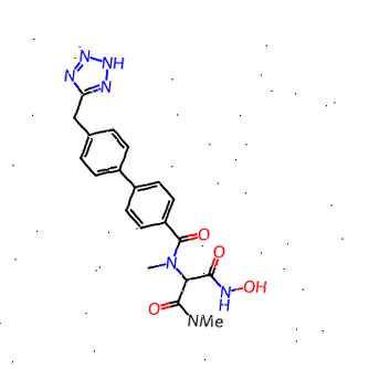 CNC(=O)C(C(=O)NO)N(C)C(=O)c1ccc(-c2ccc(Cc3nn[nH]n3)cc2)cc1